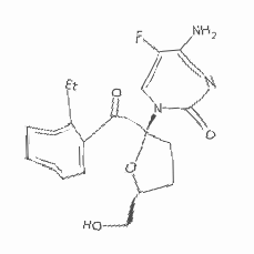 CCc1ccccc1C(=O)[C@]1(n2cc(F)c(N)nc2=O)CC[C@@H](CO)O1